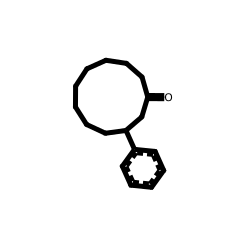 O=C1CCCCCCCCC(c2ccccc2)C1